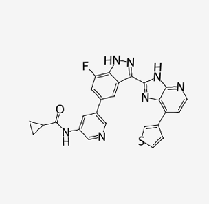 O=C(Nc1cncc(-c2cc(F)c3[nH]nc(-c4nc5c(-c6ccsc6)ccnc5[nH]4)c3c2)c1)C1CC1